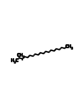 CCCCCCCCCCCCCCCCC[CH]C(C)C